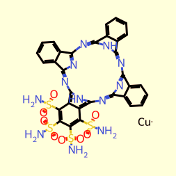 NS(=O)(=O)c1c(S(N)(=O)=O)c(S(N)(=O)=O)c2c3nc4nc(nc5[nH]c(nc6nc(nc([nH]3)c2c1S(N)(=O)=O)-c1ccccc1-6)c1ccccc51)-c1ccccc1-4.[Cu]